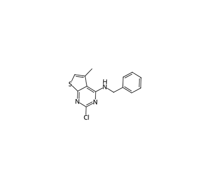 Cc1csc2nc(Cl)nc(NCc3ccccc3)c12